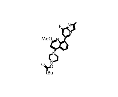 COc1cc(N2CCN(OC(=O)C(C)(C)C)CC2)c2cccc(-c3cc(F)c4nc(C)cn4c3)c2n1